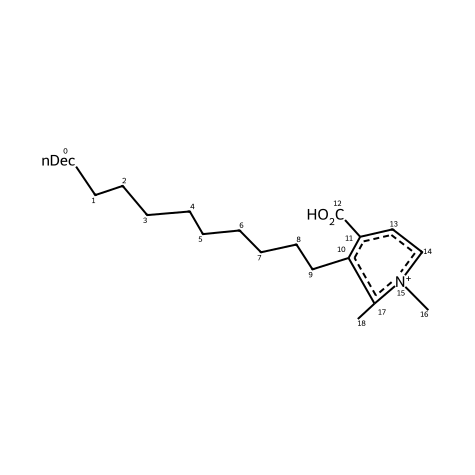 CCCCCCCCCCCCCCCCCCCc1c(C(=O)O)cc[n+](C)c1C